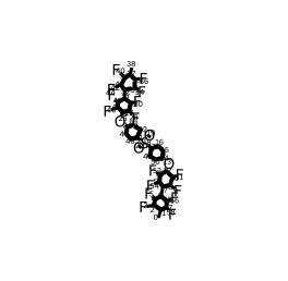 Cc1c(F)c(F)c(-c2c(F)c(F)c(Oc3ccc(S(=O)(=O)c4ccc(Oc5c(F)c(F)c(-c6c(F)c(F)c(C)c(F)c6F)c(F)c5F)cc4)cc3)c(F)c2F)c(F)c1F